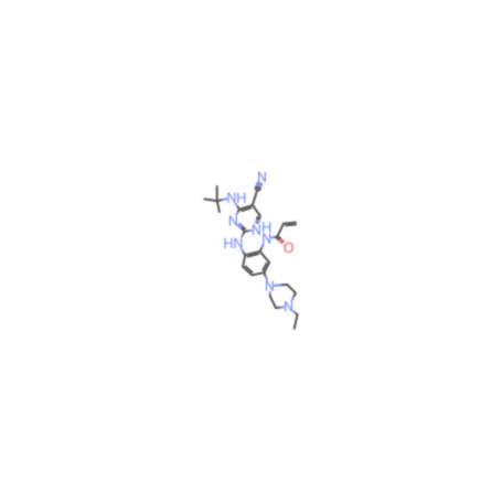 C=CC(=O)Nc1cc(N2CCN(CC)CC2)ccc1Nc1ncc(C#N)c(NC(C)(C)C)n1